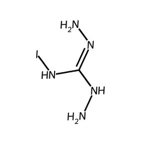 N/N=C(/NN)NI